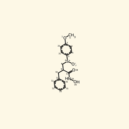 COc1ccc([S+]([O-])CC(Cc2ccccc2)C(=O)NO)cc1